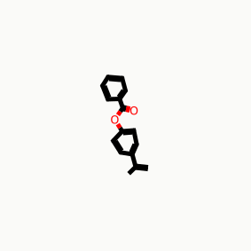 C=C(C)c1ccc(OC(=O)c2ccccc2)cc1